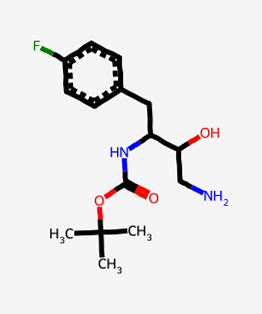 CC(C)(C)OC(=O)NC(Cc1ccc(F)cc1)C(O)CN